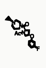 CC(=O)N1C[C@@H](Oc2cccc(F)c2)C[C@@H]1C(=O)N1CCCN(C2CC2)CC1